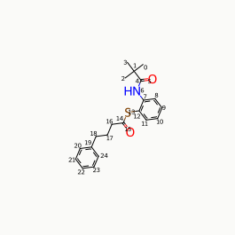 CC(C)(C)C(=O)Nc1ccccc1SC(=O)CCCc1ccccc1